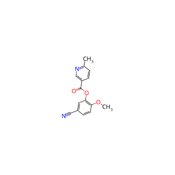 COc1ccc(C#N)cc1OC(=O)c1ccc(C)nc1